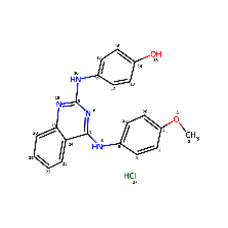 COc1ccc(Nc2nc(Nc3ccc(O)cc3)nc3ccccc23)cc1.Cl